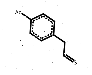 CC(=O)c1ccc(CC=S)cc1